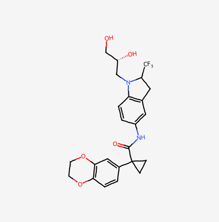 O=C(Nc1ccc2c(c1)CC(C(F)(F)F)N2C[C@@H](O)CO)C1(c2ccc3c(c2)OCCO3)CC1